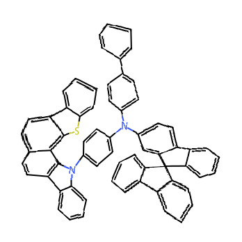 c1ccc(-c2ccc(N(c3ccc(-n4c5ccccc5c5ccc6ccc7c8ccccc8sc7c6c54)cc3)c3ccc4c(c3)C3(c5ccccc5-c5ccccc53)c3ccccc3-4)cc2)cc1